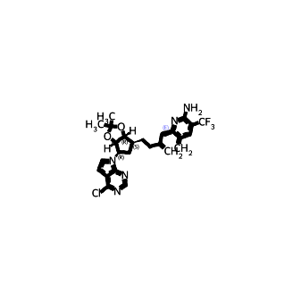 C=C(/C=c1/nc(N)c(C(F)(F)F)cc1=C)CC[C@H]1C[C@@H](n2ccc3c(Cl)ncnc32)[C@@H]2OC(C)(C)O[C@H]12